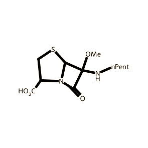 CCCCCNC1(OC)C(=O)N2C(C(=O)O)CSC21